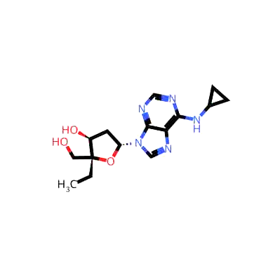 CC[C@]1(CO)O[C@@H](n2cnc3c(NC4CC4)ncnc32)C[C@@H]1O